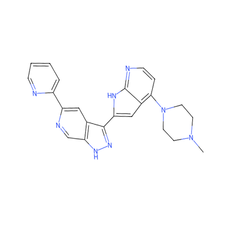 CN1CCN(c2ccnc3[nH]c(-c4n[nH]c5cnc(-c6ccccn6)cc45)cc23)CC1